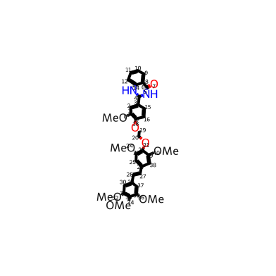 COc1cc(C2NC(=O)c3ccccc3N2)ccc1OCCOc1c(OC)cc(C=Cc2cc(OC)c(OC)c(OC)c2)cc1OC